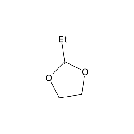 CC[C]1OCCO1